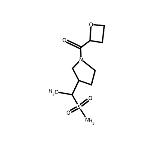 CC(C1CCN(C(=O)C2CCO2)C1)S(N)(=O)=O